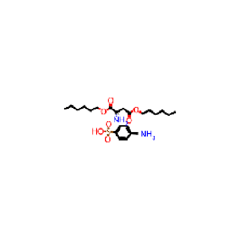 CCCCCCOC(=O)C[C@H](N)C(=O)OCCCCCC.Cc1ccc(S(=O)(=O)O)cc1.N